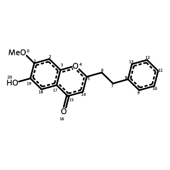 COc1cc2oc(CCc3ccccc3)cc(=O)c2cc1O